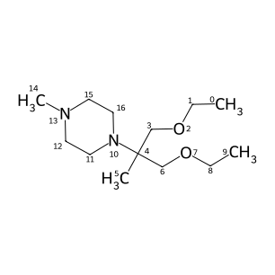 CCOCC(C)(COCC)N1CCN(C)CC1